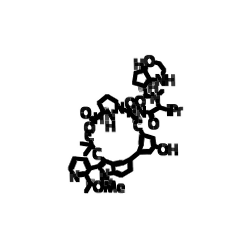 CCn1c(-c2cccnc2[C@H](C)OC)c2c3cc(ccc31)-c1cc(O)cc(c1)C[C@H](NC(=O)C(C(C)C)N(C)C(=O)[C@H]1CC[C@H]3OCCN[C@@H]13)C(=O)N1CCC[C@H](N1)C(=O)OCC(C)(C)C2